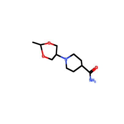 CC1OCC(N2CCC(C(N)=O)CC2)CO1